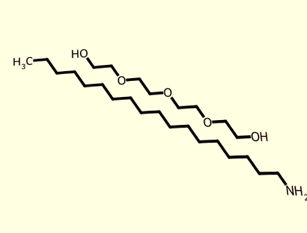 CCCCCCCCCCCCCCCCCCN.OCCOCCOCCOCCO